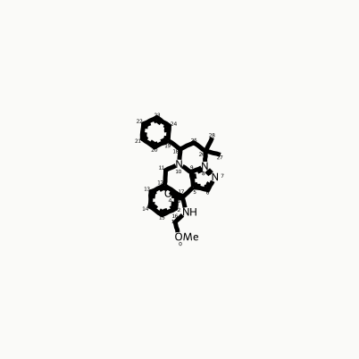 COCNC(=O)c1cnn2c1N(Cc1ccccc1)C(c1ccccc1)CC2(C)C